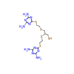 Nc1nc(N)nc(SCCSCC(CS)SCCSc2nc(N)nc(N)n2)n1